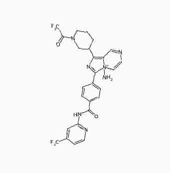 N[N+]12C=CN=CC1=C(C1CCCN(C(=O)C(F)(F)F)C1)N=C2c1ccc(C(=O)Nc2cc(C(F)(F)F)ccn2)cc1